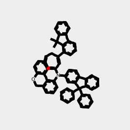 CC1(C)c2ccccc2-c2cccc(C3=CC(N(c4ccc5c(c4)C(c4ccccc4)(c4ccccc4)c4ccccc4-5)c4cccc5c4-c4ccccc4OC5)=CC=CC3)c21